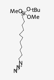 CO[Si](CCCCCCCCCCCN=[N+]=[N-])(OC)OC(C)(C)C